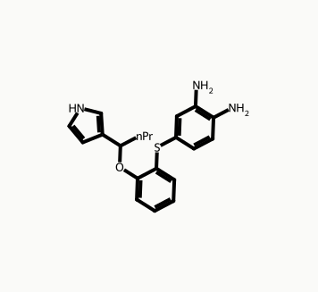 CCCC(Oc1ccccc1Sc1ccc(N)c(N)c1)c1cc[nH]c1